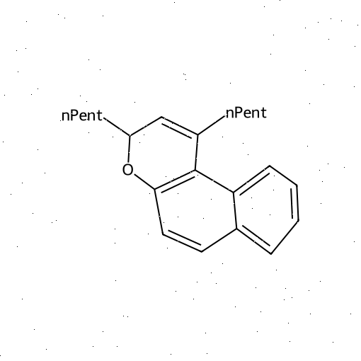 CCCCCC1=CC(CCCCC)Oc2ccc3ccccc3c21